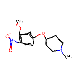 COc1cc(OC2CCN(C)CC2)ccc1[N+](=O)[O-]